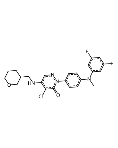 CN(c1ccc(-n2ncc(NC[C@@H]3CCCOC3)c(Cl)c2=O)cc1)c1cc(F)cc(F)c1